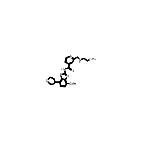 COCCNCc1cc(C(=O)Nc2nc3c(OC)ccc(C4CCOCC4)c3s2)ccn1